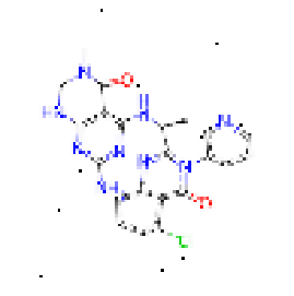 C[C@H](Nc1nc(N)nc2c1C(=O)N(C)CN2)c1nc2cccc(Cl)c2c(=O)n1-c1cccnc1